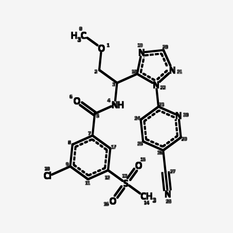 COCC(NC(=O)c1cc(Cl)cc(S(C)(=O)=O)c1)c1ncnn1-c1ccc(C#N)cn1